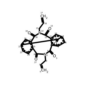 C=CCN1C(=O)c2ccc3cc2C(=O)N(CC=C)C(=O)c2cc(ccc2C1=O)C3=O